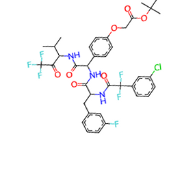 CC(C)C(NC(=O)C(NC(=O)C(Cc1cccc(F)c1)NC(=O)C(F)(F)c1cccc(Cl)c1)c1ccc(OCC(=O)OC(C)(C)C)cc1)C(=O)C(F)(F)F